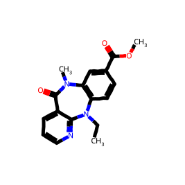 CCN1c2ccc(C(=O)OC)cc2N(C)C(=O)c2cccnc21